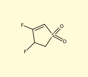 O=S1(=O)C=C(F)C(F)C1